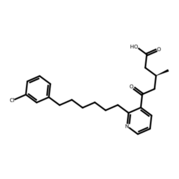 C[C@H](CC(=O)O)CC(=O)c1cccnc1CCCCCCc1cccc(Cl)c1